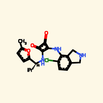 Cc1ccc([C@H](Nc2c(Nc3c(Cl)ccc4c3CNC4)c(=O)c2=O)C(C)C)o1